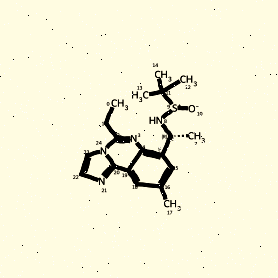 CCc1nc2c([C@@H](C)N[S+]([O-])C(C)(C)C)cc(C)cc2c2nccn12